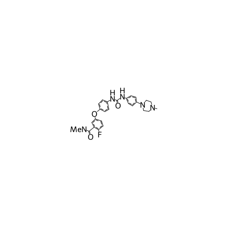 CNC(=O)c1cc(Oc2ccc(NC(=O)Nc3ccc(N4CCN(C)CC4)cc3)cc2)ccc1F